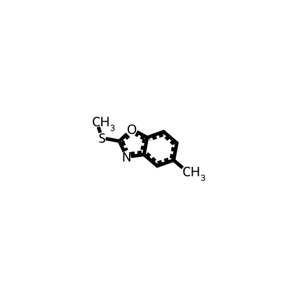 CSc1nc2cc(C)ccc2o1